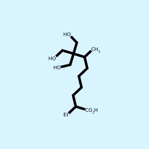 CCC(CCCCC(C)C(CO)(CO)CO)C(=O)O